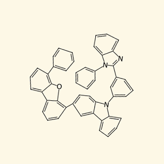 c1ccc(-c2cccc3c2oc2c(-c4ccc5c(c4)c4ccccc4n5-c4cccc(-c5nc6ccccc6n5-c5ccccc5)c4)cccc23)cc1